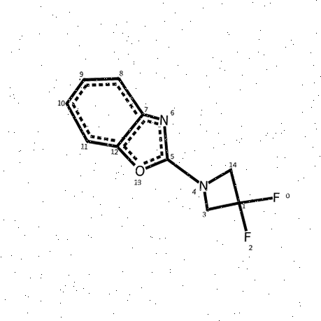 FC1(F)CN(c2nc3c[c]ccc3o2)C1